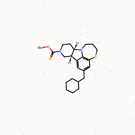 CC(C)(C)OC(=O)N1CC[C@H]2[C@@H](C1)c1cc(CC3CCCCC3)cc3c1N2CCCS3